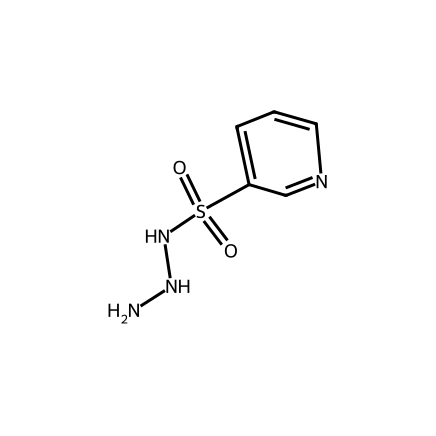 NNNS(=O)(=O)c1cccnc1